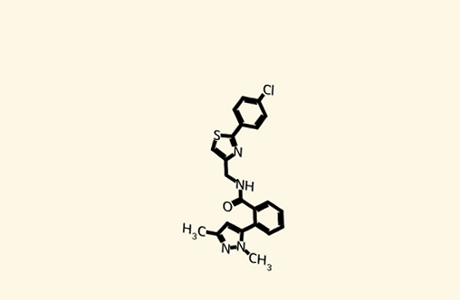 Cc1cc(-c2ccccc2C(=O)NCc2csc(-c3ccc(Cl)cc3)n2)n(C)n1